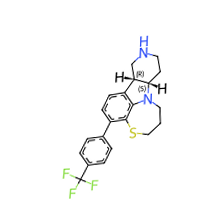 FC(F)(F)c1ccc(-c2ccc3c4c2SCCCN4[C@H]2CCNC[C@@H]32)cc1